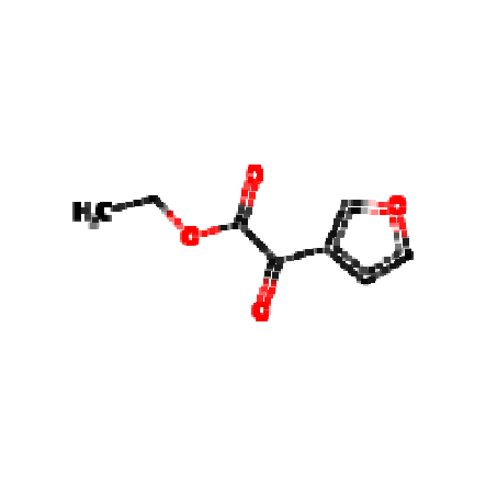 CCOC(=O)C(=O)c1ccoc1